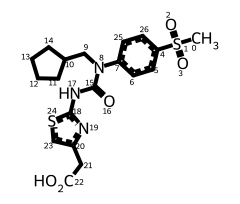 CS(=O)(=O)c1ccc(N(CC2CCCC2)C(=O)Nc2nc(CC(=O)O)cs2)cc1